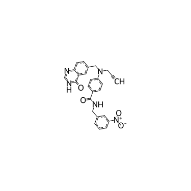 C#CCN(Cc1ccc2nc[nH]c(=O)c2c1)c1ccc(C(=O)NCc2cccc([N+](=O)[O-])c2)cc1